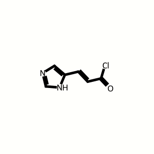 O=C(Cl)C=Cc1cnc[nH]1